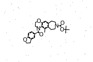 Cc1c2c(cc3c1N(C(=O)c1ccc4c(c1)CCO4)CCO3)CCN(C(=O)OC(C)(C)C)CC2